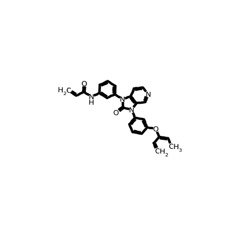 C=CC(=O)Nc1cccc(-n2c(=O)n(-c3cccc(O/C(C=C)=C/C)c3)c3cnccc32)c1